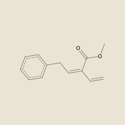 C=CC(=CCc1ccccc1)C(=O)OC